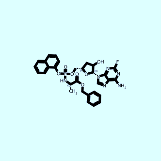 C[C@H](NP(=O)(OC[C@@H]1CC(O)[C@H](n2cnc3c(N)nc(F)nc32)O1)Oc1cccc2ccccc12)C(=O)OCc1ccccc1